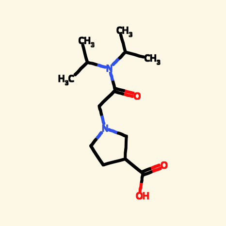 CC(C)N(C(=O)CN1CCC(C(=O)O)C1)C(C)C